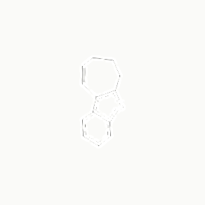 C1=Cc2c(sc3ccccc23)CCC1